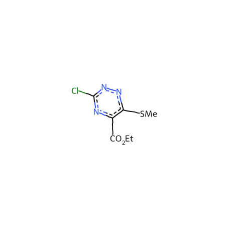 CCOC(=O)c1nc(Cl)nnc1SC